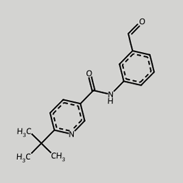 CC(C)(C)c1ccc(C(=O)Nc2cccc(C=O)c2)cn1